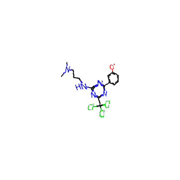 COc1cccc(-c2nc(NCCCN(C)C)nc(C(Cl)(Cl)Cl)n2)c1